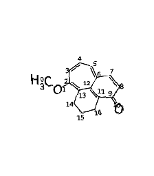 COc1cccc2ccc(=O)c3c-2c1CCC3